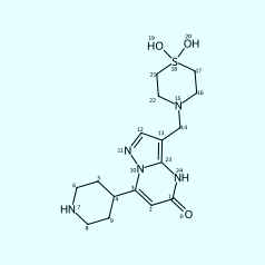 O=c1cc(C2CCNCC2)n2ncc(CN3CCS(O)(O)CC3)c2[nH]1